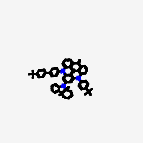 CC1c2cccc3c2B2c4c1cccc4N(c1ccc(C(C)(C)C)cc1)c1cc(N4c5ccccc5C5(C)CCCCC45C)cc(c12)N3c1ccc(-c2ccc(C(C)(C)C)cc2)cc1